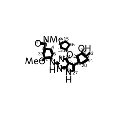 CNC(=O)c1ccc(Nc2nc(OC3CCCC3)c3c(-c4ccc(C)c(O)c4)c[nH]c3n2)c(OC)c1